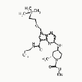 C[C@@H]1C[C@@H](Nc2cnc3c(n2)c(C(=O)NCCC(F)(F)F)cn3COCCS(C)(C)C)CCN1C(=O)OC(C)(C)C